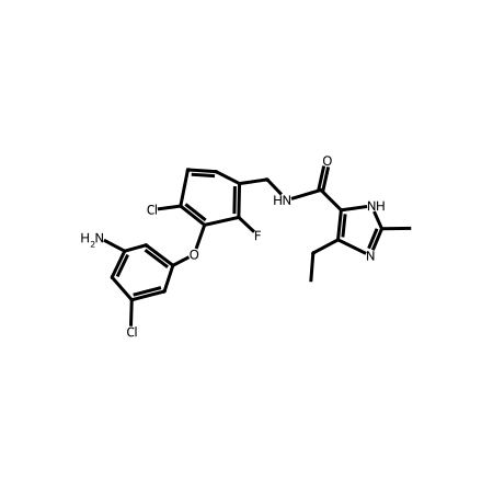 CCc1nc(C)[nH]c1C(=O)NCc1ccc(Cl)c(Oc2cc(N)cc(Cl)c2)c1F